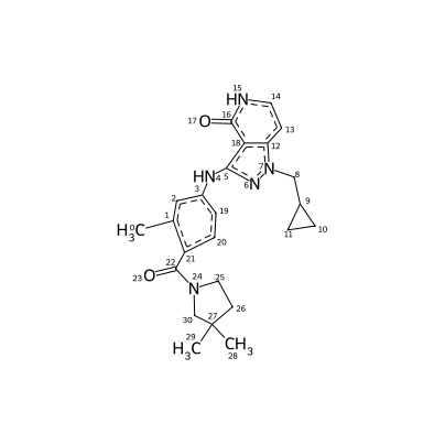 Cc1cc(Nc2nn(CC3CC3)c3cc[nH]c(=O)c23)ccc1C(=O)N1CCC(C)(C)C1